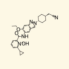 CCOc1cc2nn([C@H]3CC[C@H](CC#N)CC3)cc2cc1NC(=O)c1cccc(C2CC2)[n+]1O